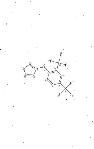 FC(F)(F)c1ccc(Oc2c[c]sc2)c(C(F)(F)F)c1